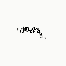 CCO[C@H]1C[C@H](Nc2ncc3c(-c4ccc5nc(C)n(CC(F)F)c5n4)ccn3n2)C1